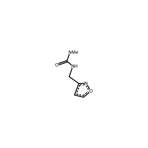 CNC(=O)NCc1ccon1